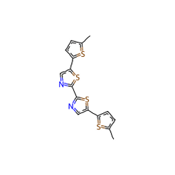 Cc1ccc(-c2cnc(-c3ncc(-c4ccc(C)s4)s3)s2)s1